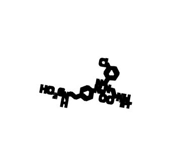 CC(C)NC(=O)Cn1c(-c2cccc(Cl)c2)nn(-c2ccc(CCNC(=O)O)cc2)c1=O